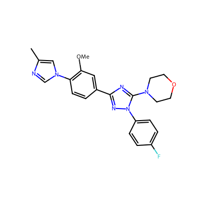 COc1cc(-c2nc(N3CCOCC3)n(-c3ccc(F)cc3)n2)ccc1-n1cnc(C)c1